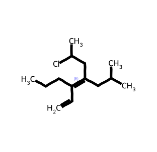 C=C/C(CCC)=C(\CC(C)C)CC(C)Cl